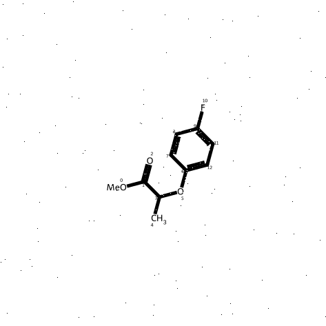 COC(=O)C(C)Oc1ccc(F)cc1